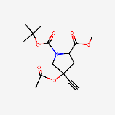 C#CC1(OC(C)=O)CC(C(=O)OC)N(C(=O)OC(C)(C)C)C1